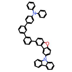 c1ccc(N(c2ccccc2)c2ccc(-c3cccc(-c4cccc(-c5ccc6oc7ccc(-n8c9ccccc9c9ccccc98)cc7c6c5)c4)c3)cc2)cc1